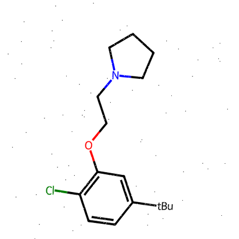 CC(C)(C)c1ccc(Cl)c(OCCN2CCCC2)c1